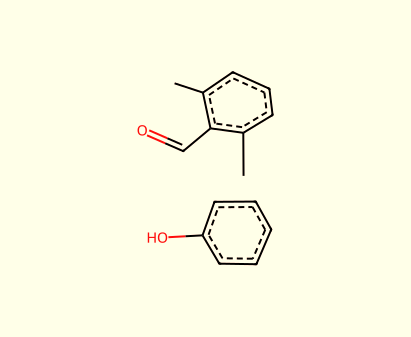 Cc1cccc(C)c1C=O.Oc1ccccc1